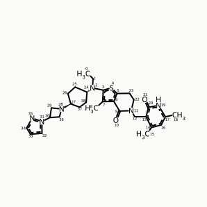 CCN(c1sc2c(c1C)C(=O)N(Cc1c(C)cc(C)[nH]c1=O)CC2)[C@H]1CC[C@H](N2CC(n3cccn3)C2)CC1